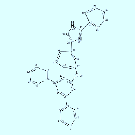 c1ccc(-c2cc(-c3ccccc3)c3c(c2)oc2cc(-c4n[nH]c(-c5ccccc5)n4)ccc23)cc1